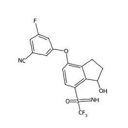 N#Cc1cc(F)cc(Oc2ccc(S(=N)(=O)C(F)(F)F)c3c2CCC3O)c1